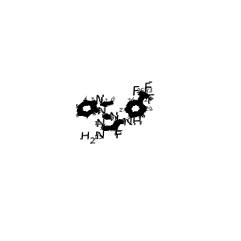 Cc1nc2ccccc2n1-c1nc(N)c(F)c(Nc2ccc(C(F)(F)F)cc2)n1